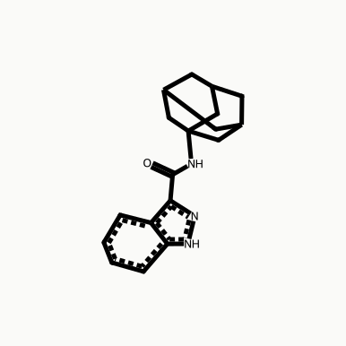 O=C(NC12CC3CC(CC(C3)C1)C2)c1n[nH]c2ccccc12